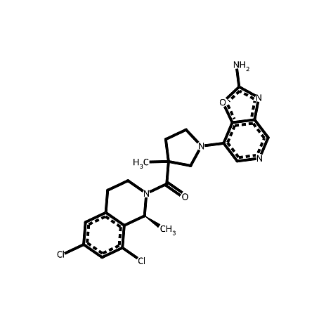 C[C@H]1c2c(Cl)cc(Cl)cc2CCN1C(=O)C1(C)CCN(c2cncc3nc(N)oc23)C1